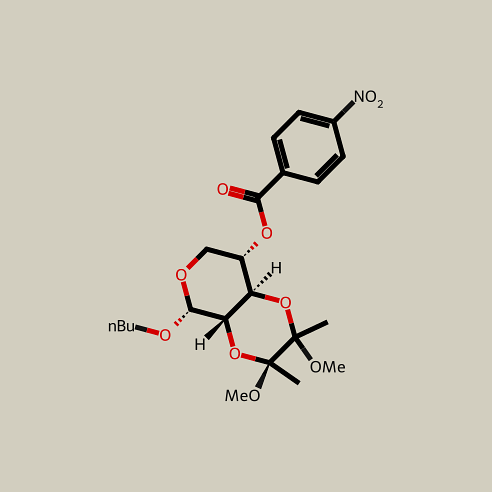 CCCCO[C@@H]1OC[C@H](OC(=O)c2ccc([N+](=O)[O-])cc2)[C@H]2OC(C)(OC)[C@@](C)(OC)O[C@H]12